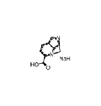 O=C(O)c1ccc2cnc3c-2n1C3.[NaH]